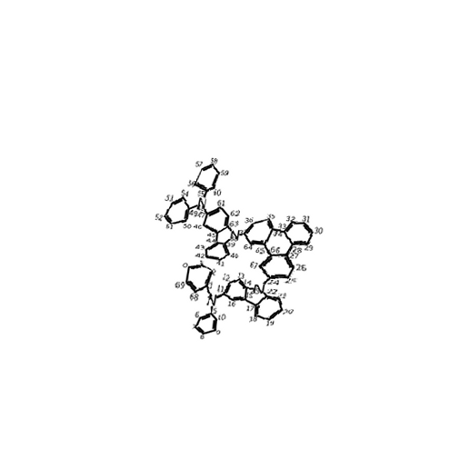 c1ccc(N(c2ccccc2)c2ccc3c(c2)c2ccccc2n3-c2ccc3c4ccccc4c4ccc(-n5c6ccccc6c6cc(N(c7ccccc7)c7ccccc7)ccc65)cc4c3c2)cc1